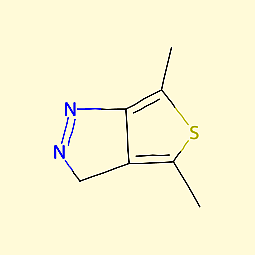 Cc1sc(C)c2c1CN=N2